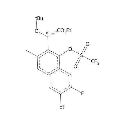 CCOC(=O)[C@@H](OC(C)(C)C)c1c(C)cc2cc(CC)c(F)cc2c1OS(=O)(=O)C(F)(F)F